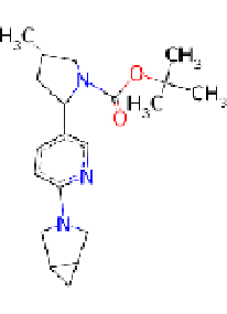 C[C@H]1CC(c2ccc(N3CC4CC4C3)nc2)N(C(=O)OC(C)(C)C)C1